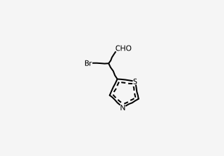 O=CC(Br)c1cncs1